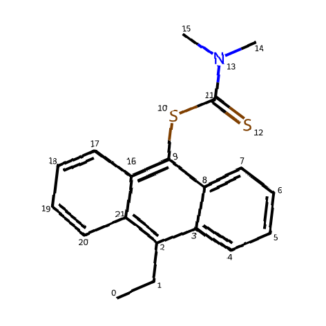 CCc1c2ccccc2c(SC(=S)N(C)C)c2ccccc12